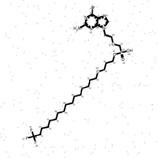 Nc1nc(Br)c2ncn(CCOCP(=O)(O)OCCCOCCCCCCCCCCCCCCCC(F)(F)F)c2n1